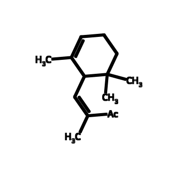 CC(=O)/C(C)=C\C1C(C)=CCCC1(C)C